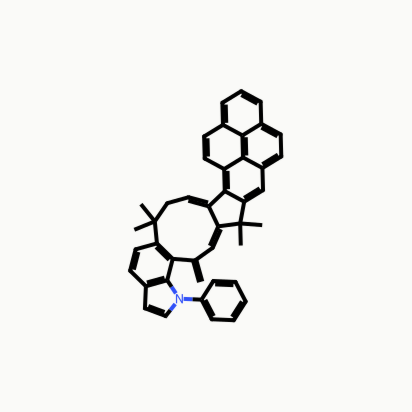 C=C1/C=C2\C(=C/CC(C)(C)c3ccc4ccn(-c5ccccc5)c4c31)c1c(cc3ccc4cccc5ccc1c3c45)C2(C)C